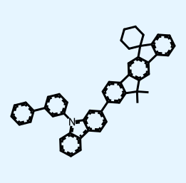 CC1(C)c2cc(-c3ccc4c5ccccc5n(-c5cccc(-c6ccccc6)c5)c4c3)ccc2-c2cc3c(cc21)-c1ccccc1C31CCCCC1